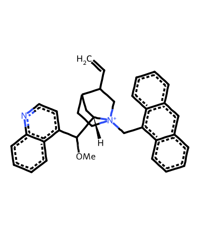 C=CC1C[N+]2(Cc3c4ccccc4cc4ccccc34)CCC1C[C@H]2C(OC)c1ccnc2ccccc12